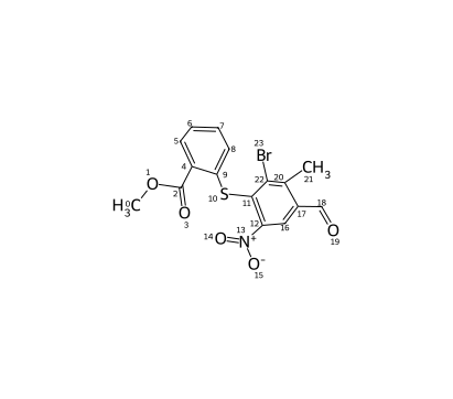 COC(=O)c1ccccc1Sc1c([N+](=O)[O-])cc(C=O)c(C)c1Br